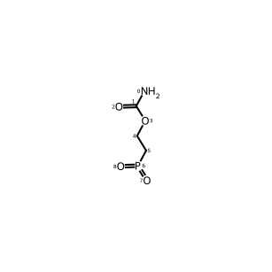 NC(=O)OCCP(=O)=O